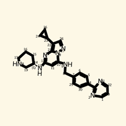 c1cnc(-c2ccc(CNc3cc(N[C@H]4CCCNC4)nc4c(C5CC5)cnn34)cc2)nc1